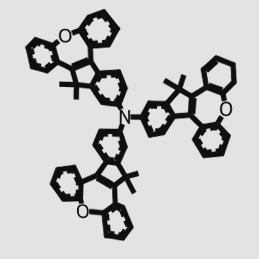 CC1(C)C2=C(c3ccccc3OC3=C2C=CCC3)c2ccc(N(c3ccc4c(c3)C(C)(C)C3=C4c4ccccc4Oc4ccccc43)c3ccc4c(c3)C(C)(C)C3=C4c4ccccc4Oc4ccccc43)cc21